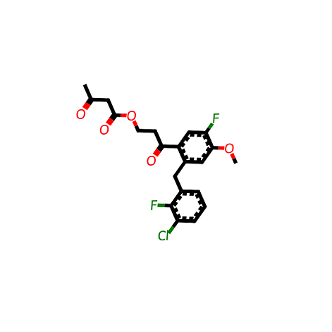 COc1cc(Cc2cccc(Cl)c2F)c(C(=O)CCOC(=O)CC(C)=O)cc1F